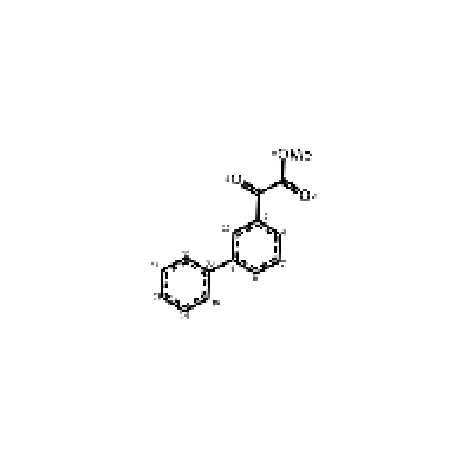 COC(=O)C(=O)c1cccc(-c2ccccc2)c1